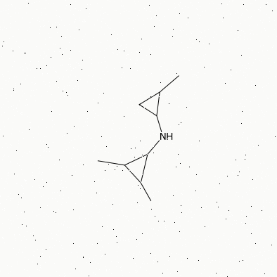 CC1CC1NC1C(C)C1C